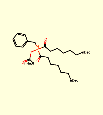 CCCCCCCCCCCCCCCC(=O)[PH](Cc1ccccc1)(OC(=O)CCCCCCC)C(=O)CCCCCCCCCCCCCCC